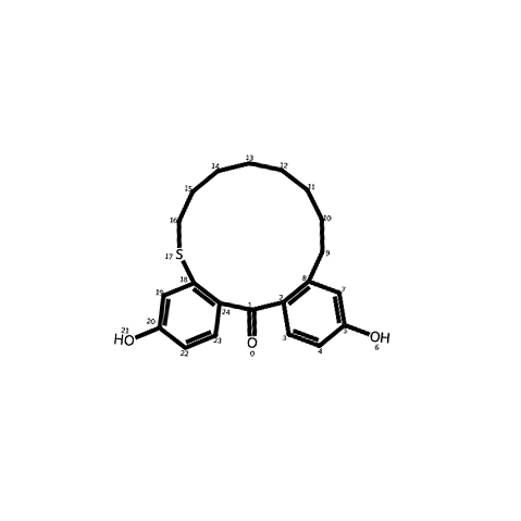 O=C1c2ccc(O)cc2CCCCCCCCSc2cc(O)ccc21